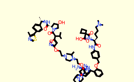 Cc1ncsc1-c1ccc([C@H](C)NC(=O)[C@@H]2C[C@@H](O)CN2C(=O)C(c2cc(OCCN3CCN(CCOc4cc(N5C6CCC5CN(c5cc(-c7ccccc7OCc7ccc(NC(=O)[C@H](CCCCN(C)C)NC(=O)C8(C(=O)O)CCC8)cc7)nnc5N)C6)ccn4)C(C)C3)no2)C(C)C)cc1